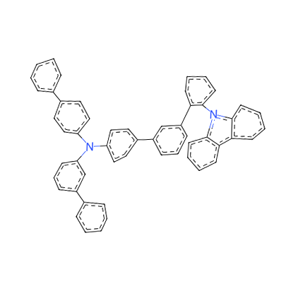 c1ccc(-c2ccc(N(c3ccc(-c4cccc(-c5ccccc5-n5c6ccccc6c6ccccc65)c4)cc3)c3cccc(-c4ccccc4)c3)cc2)cc1